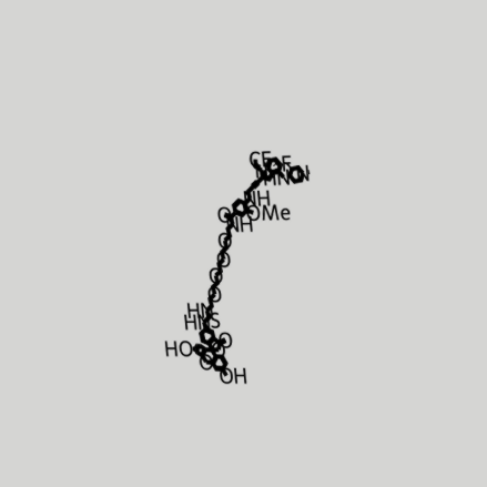 COc1cc(C(=O)NCCOCCOCCOCCOCCNC(=S)Nc2ccc3c(c2)C(=O)OC32c3ccc(O)cc3Oc3cc(O)ccc32)ccc1NCC#Cc1cc2c(N[C@@H]3CCN(C)C[C@@H]3F)cccc2n1CC(F)(F)F